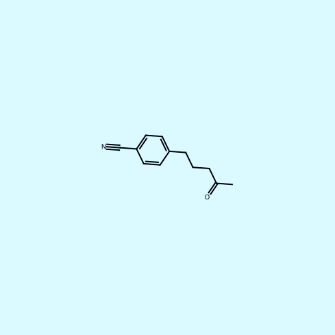 CC(=O)CCCc1ccc(C#N)cc1